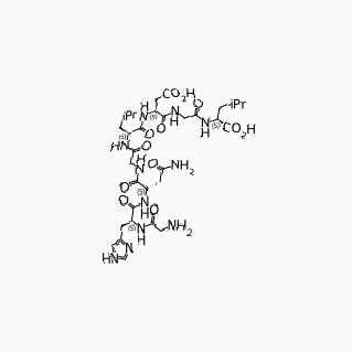 CC(C)C[C@H](NC(=O)CNC(=O)[C@H](CC(=O)O)NC(=O)[C@H](CC(C)C)NC(=O)CNC(=O)[C@H](CC(N)=O)NC(=O)[C@H](Cc1c[nH]cn1)NC(=O)CN)C(=O)O